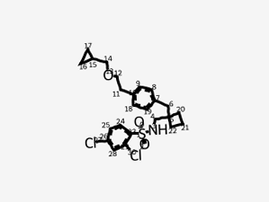 O=S(=O)(NCC1(Cc2ccc(CCOCC3CC3)cc2)CCC1)c1ccc(Cl)cc1Cl